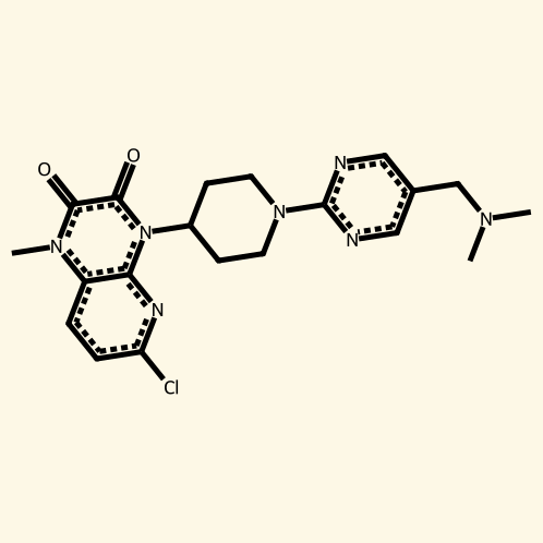 CN(C)Cc1cnc(N2CCC(n3c(=O)c(=O)n(C)c4ccc(Cl)nc43)CC2)nc1